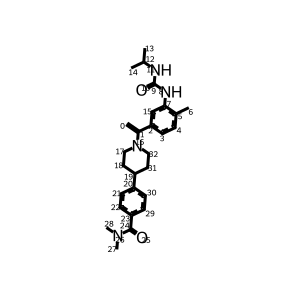 C=C(c1ccc(C)c(NC(=O)NC(C)C)c1)N1CCC(c2ccc(C(=O)N(C)C)cc2)CC1